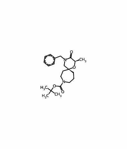 C[C@H]1O[C@@]2(CCCN(C(=O)OC(C)(C)C)CC2)CN(Cc2ccccc2)C1=O